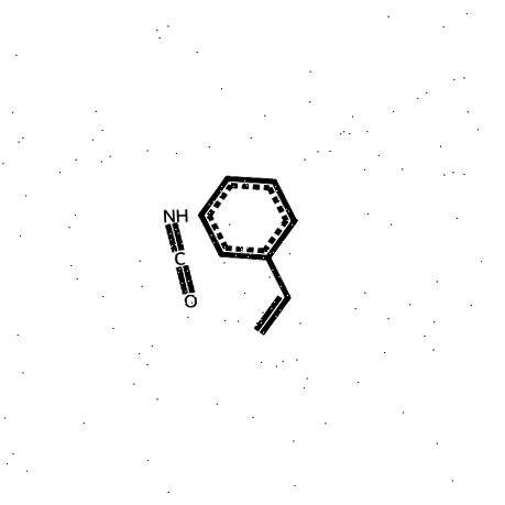 C=Cc1ccccc1.N=C=O